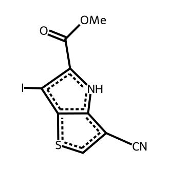 COC(=O)c1[nH]c2c(C#N)csc2c1I